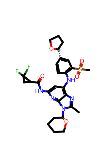 Cc1nc2c(Nc3ccc([C@H]4CCCO4)cc3S(C)(=O)=O)cc(NC(=O)C3CC3(F)F)nc2n1C1CCCCO1